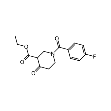 CCOC(=O)C1CN(C(=O)c2ccc(F)cc2)CCC1=O